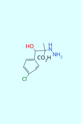 CC(NN)(C(=O)O)C(O)c1ccc(Cl)cc1